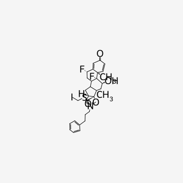 C[C@]12C=CC(=O)C=C1[C@@H](F)CC1C3C[C@H]4CN(CCCc5ccccc5)O[C@@]4(C(=O)SCI)[C@@]3(C)C[C@H](O)[C@@]12F